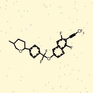 CC1CCC(c2ccc(C(F)(F)Oc3ccc4c(F)c(C#CC(F)(F)F)c(F)cc4c3)cc2)OC1